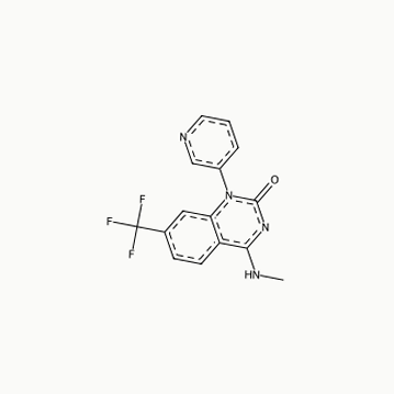 CNc1nc(=O)n(-c2cccnc2)c2cc(C(F)(F)F)ccc12